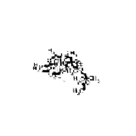 C=CC(=O)OC(C)(C)CCOC(C)(C)CC(CC)(CC(C)(C)OCCC(C)(C)OC(=O)C=C)CC(C)(CC)OCCC(C)(C)OC(=O)C=C